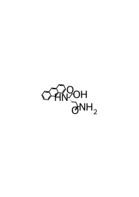 NC(=O)CC[C@H](Nc1cccc2cc3ccccc3cc12)C(=O)O